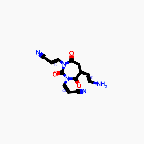 N#C/C=C\N1C(=O)C(/C=C/N)CC(=O)N(/C=C/C#N)C1=O